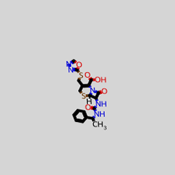 CC(NC(=O)NC1C(=O)N2C(C(=O)O)=C(CSc3nnco3)CS[C@@H]12)c1ccccc1